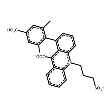 Cc1cc(C(=O)O)cc(C)c1-c1cccc2c1c(C(=O)[O-])c1ccccc1[n+]2CCCS(=O)(=O)O